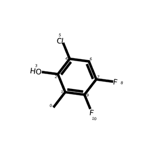 Cc1c(O)c(Cl)cc(F)c1F